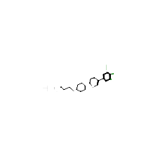 CCCCC[C@H]1CC[C@H](C2CC=C(c3cc(F)c(F)c(F)c3)CC2)CC1